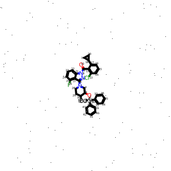 CC(C)(C)[Si](OC1CN(c2nn(C(=O)c3c(Cl)cccc3C3CC3)c3cccc(F)c23)CCC1C(=O)O)(c1ccccc1)c1ccccc1